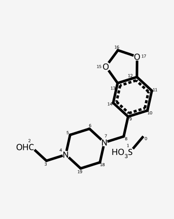 CS(=O)(=O)O.O=CCN1CCN(Cc2ccc3c(c2)OCO3)CC1